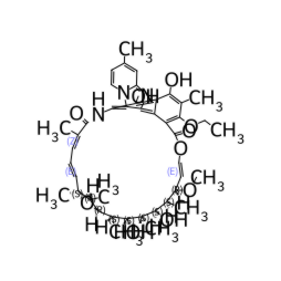 CCOc1c(C)c(O)c2c(O)c3c4c(nc5cc(C)ccn54)c2c1C(=O)O/C=C/[C@H](OC)[C@@H](C)[C@@H](O)[C@H](C)[C@H](O)[C@H](C)[C@H]1O[C@@](C)(/C=C/C=C(/C)C(=O)N3)[C@@H]1C